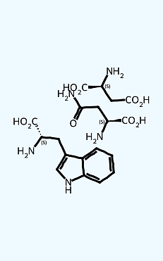 NC(=O)C[C@H](N)C(=O)O.N[C@@H](CC(=O)O)C(=O)O.N[C@@H](Cc1c[nH]c2ccccc12)C(=O)O